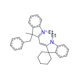 CCN1C(=CC2=[N+](CC)c3ccccc3C2(C)Cc2ccccc2)C2(CCCCC2)c2ccccc21